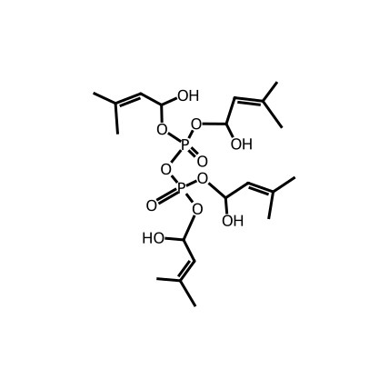 CC(C)=CC(O)OP(=O)(OC(O)C=C(C)C)OP(=O)(OC(O)C=C(C)C)OC(O)C=C(C)C